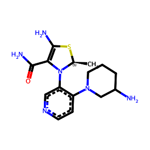 C[C@@H]1SC(N)=C(C(N)=O)N1c1cnccc1N1CCCC(N)C1